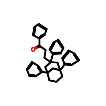 O=C(CCC1(c2ccccc2)CC2(c3ccccc3)CCCC(c3ccccc3)(C2)C1)c1ccccc1